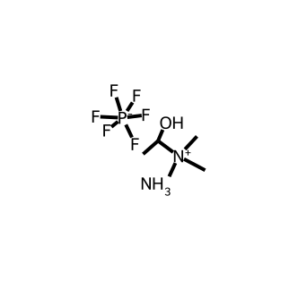 CC(O)[N+](C)(C)C.F[P-](F)(F)(F)(F)F.N